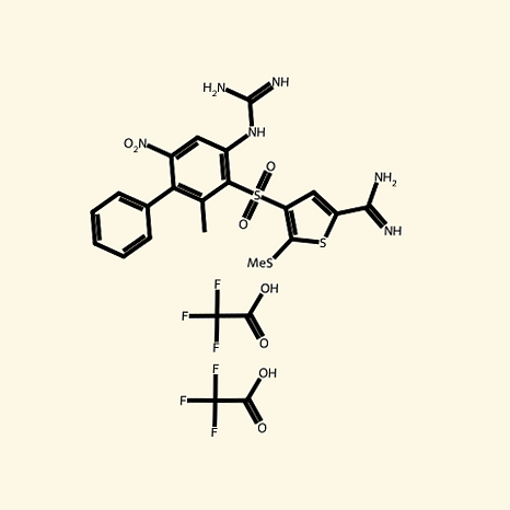 CSc1sc(C(=N)N)cc1S(=O)(=O)c1c(NC(=N)N)cc([N+](=O)[O-])c(-c2ccccc2)c1C.O=C(O)C(F)(F)F.O=C(O)C(F)(F)F